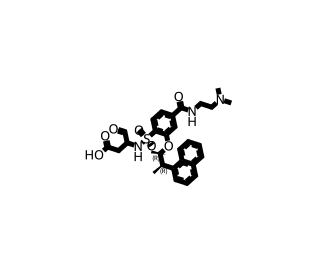 C[C@H](c1cccc2ccccc12)[C@@H](C)Oc1cc(C(=O)NCCN(C)C)ccc1S(=O)(=O)NC(C=O)CC(=O)O